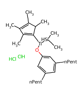 CCCCCc1cc(CCCCC)cc([O][Ti]([C]2=C(C)C(C)=C(C)C2C)[SiH](C)C)c1.Cl.Cl